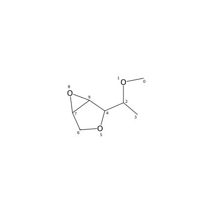 COC(C)C1OCC2OC21